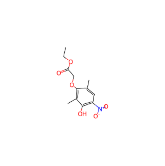 CCOC(=O)COc1c(C)cc([N+](=O)[O-])c(O)c1C